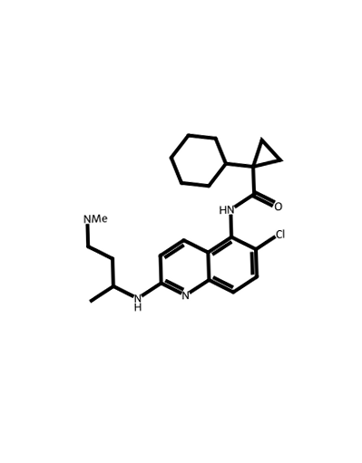 CNCCC(C)Nc1ccc2c(NC(=O)C3(C4CCCCC4)CC3)c(Cl)ccc2n1